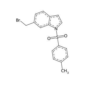 Cc1ccc(S(=O)(=O)n2ccc3ccc(CBr)cc32)cc1